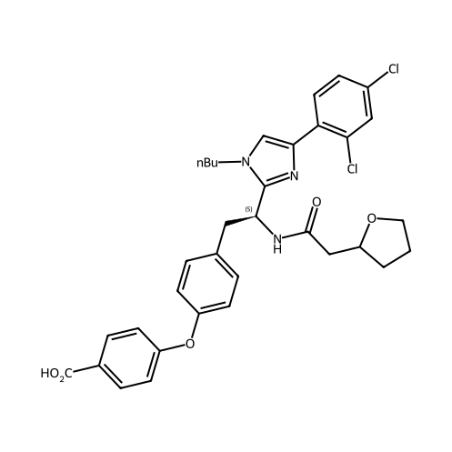 CCCCn1cc(-c2ccc(Cl)cc2Cl)nc1[C@H](Cc1ccc(Oc2ccc(C(=O)O)cc2)cc1)NC(=O)CC1CCCO1